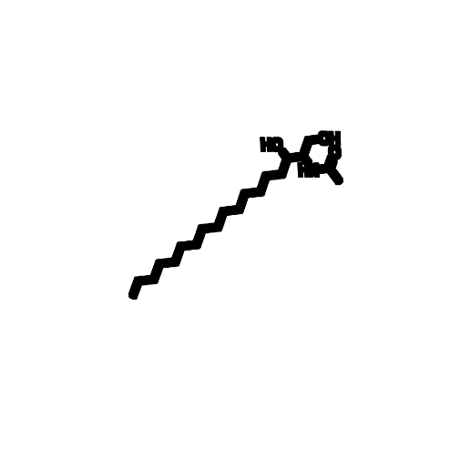 CCCCCCCCCCCCCCCC(O)C(CO)NC(C)=O